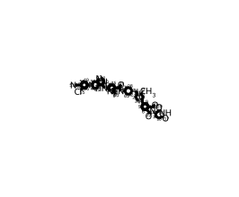 C[C@H]1CN(c2ccc3c(c2)C(=O)N(C2CCC(=O)NC2=O)C3=O)CCN1C[C@H]1CC[C@H](NC(=O)c2ccc(Nc3ncnc4c3CCN(c3ccc(C#N)c(Cl)c3)C4)nc2F)CC1